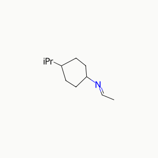 C/C=N/C1CCC(C(C)C)CC1